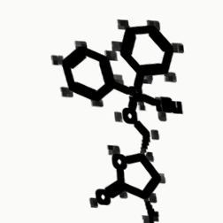 CC(C)(C)[Si](OC[C@@H]1C[C@H](F)C(=O)O1)(c1ccccc1)c1ccccc1